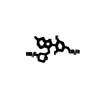 CCOC(=O)Cc1cc(F)c(-c2nc3cc(C)ccn3c2CC2CN(C(=O)O)CCO2)c(F)c1